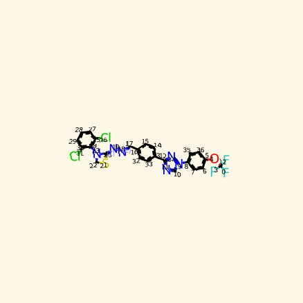 FC(F)(F)Oc1ccc(-n2cnc(-c3ccc(/C=N/N=C4\SCN4c4c(Cl)cccc4Cl)cc3)n2)cc1